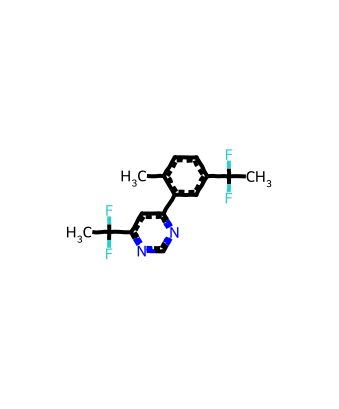 Cc1ccc(C(C)(F)F)cc1-c1cc(C(C)(F)F)ncn1